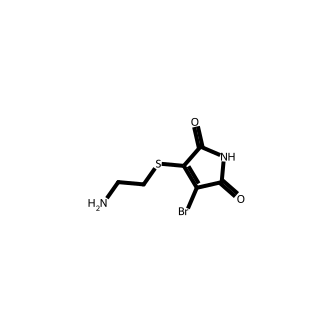 NCCSC1=C(Br)C(=O)NC1=O